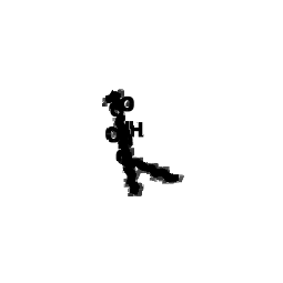 C=C(C)C(=O)OCCNC(=O)OCCOC(CCCCC)CCCCCCC